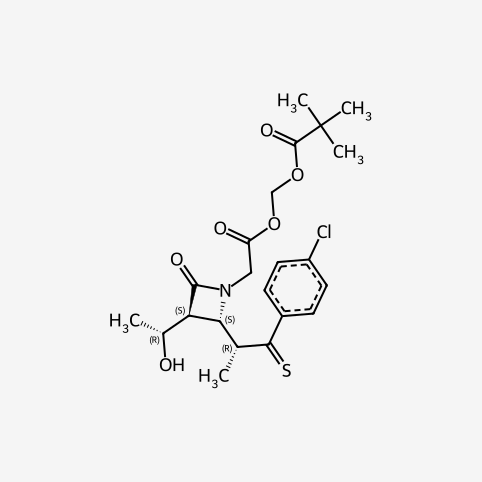 C[C@@H](O)[C@H]1C(=O)N(CC(=O)OCOC(=O)C(C)(C)C)[C@@H]1[C@@H](C)C(=S)c1ccc(Cl)cc1